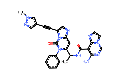 CC(NC(=O)c1c(N)ncn2ccnc12)c1cc2ncc(C#Cc3cnn(C)c3)n2c(=O)n1-c1ccccc1